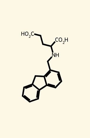 O=C(O)CCC(NCc1cccc2c1Cc1ccccc1-2)C(=O)O